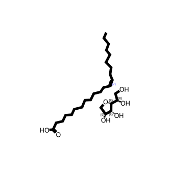 CCCCCCCC/C=C\CCCCCCCCCCCC(=O)O.OC[C@@H](O)[C@H]1OC[C@H](O)[C@H]1O